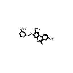 COC1=C[C@H](COc2cc3oc(=O)c4cc(C(C)=O)ccc4c3cc2OC)CC=C1